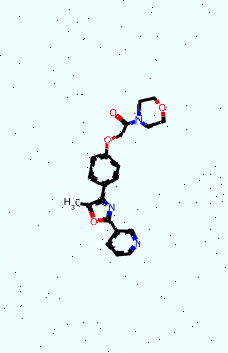 Cc1oc(-c2cccnc2)nc1-c1ccc(OCC(=O)N2CCOCC2)cc1